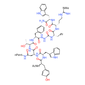 CCCCCNC(=O)C[C@H](NC(=O)[C@@H](Cc1c[nH]c2ccccc12)NC(=O)[C@@H](Cc1ccc(O)cc1)NC(C)=O)C(=O)N[C@H](C(=O)N[C@@H](Cc1ccccc1)C(=O)NNC(=O)N[C@@H](CC(C)C)C(=O)N[C@@H](CCCNC(=N)NC)C(=O)N[C@@H](Cc1c[nH]c2ccccc12)C(N)=O)[C@@H](C)O